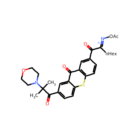 CCCCCC/C(=N\OC(C)=O)C(=O)c1ccc2sc3ccc(C(=O)C(C)(C)N4CCOCC4)cc3c(=O)c2c1